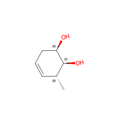 C[C@@H]1C=CC[C@@H](O)[C@H]1O